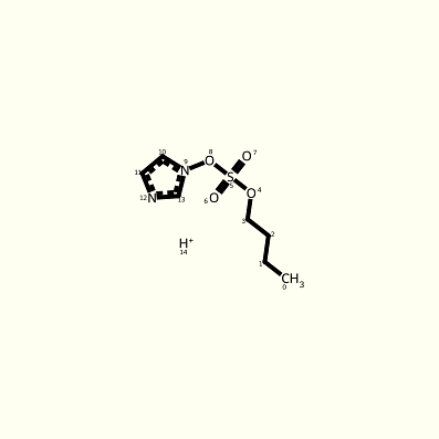 CCCCOS(=O)(=O)On1ccnc1.[H+]